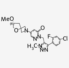 CO[C@H]1COC2(C1)CN(c1cnn(Cc3c(-c4ccc(Cl)cc4F)nnn3C)c(=O)c1)C2